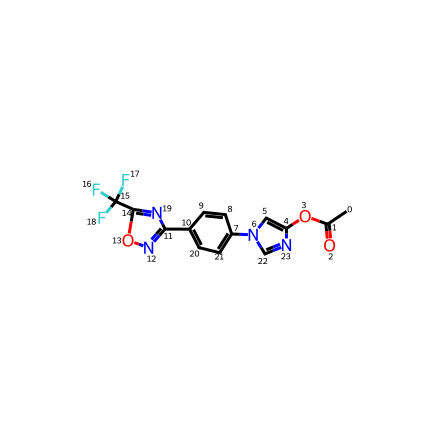 CC(=O)Oc1cn(-c2ccc(-c3noc(C(F)(F)F)n3)cc2)cn1